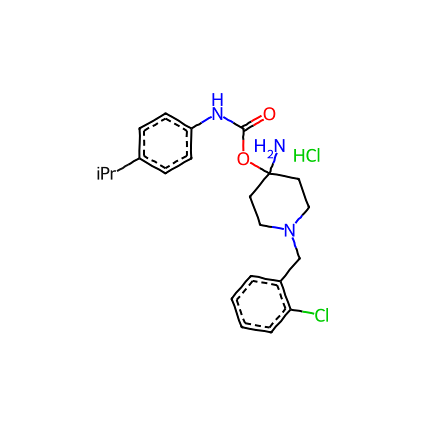 CC(C)c1ccc(NC(=O)OC2(N)CCN(Cc3ccccc3Cl)CC2)cc1.Cl